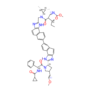 CC[C@H](C)C(/C=N\C(=O)OC)C(=O)N(Cc1nc2ccc3cc(-c4ccc5c(ccc6nc([C@@H]7CC(/C=C/OC)CN7C(=O)[C@H](NC(=O)C7CC7)c7ccccc7)n(I)c65)c4)ccc3c2[nH]1)[C@@H]1[C@H](C)[C@@H]1C